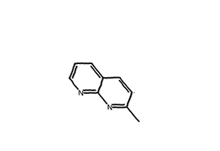 Cc1[c]cc2cccnc2n1